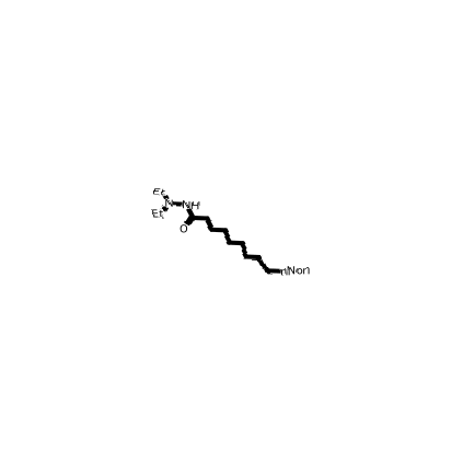 CCCCCCCCCCCCCCCCCC(=O)NN(CC)CC